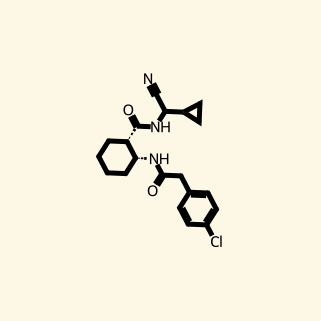 N#CC(NC(=O)[C@H]1CCCC[C@H]1NC(=O)Cc1ccc(Cl)cc1)C1CC1